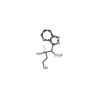 C[C@@](O)(CCO)C(C(=O)O)c1onc2cccnc12